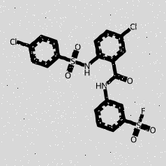 O=C(Nc1cccc(S(=O)(=O)F)c1)c1cc(Cl)ccc1NS(=O)(=O)c1ccc(Cl)cc1